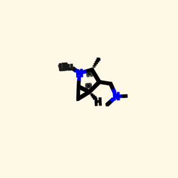 C[C@@H]1C(CN(C)C)[C@H]2CC2N1C(C)(C)C